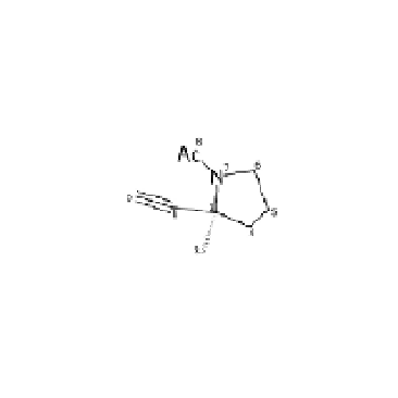 C#C[C@]1(C)CCCN1C(C)=O